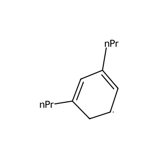 CCCC1=C[CH]CC(CCC)=C1